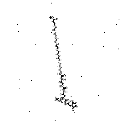 CC(C)(C)OC(=O)C[C@H](NC(=O)CN1C(=O)C=CC1=O)C(=O)NCC(=O)NCC(=O)NCC(=O)NCC(=O)NCCOCCOCCOCCOCCOCCOCCOCCOCCC(=O)O